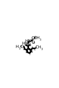 CCCc1cccc(CCC)c1C1CNC(NC(=O)OC)=N1